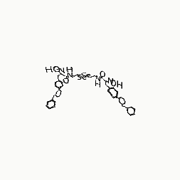 O=C(NCC[Se][Se]CCNC(=O)/C(Cc1ccc(OCc2ccccc2)cc1)=N/O)/C(Cc1ccc(OCc2ccccc2)cc1)=N/O